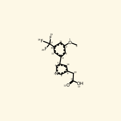 COc1cc(-c2cncc(CC(=O)O)c2)cc(C(F)(F)F)c1